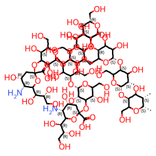 CC1C(O)[C@H](O[C@@H]2OC(CO)[C@H](O)C(O[C@]3(C(=O)O)C[C@@H](O)[C@@H](N)C([C@H](O)[C@H](O)CO)O3)[C@@H]2O)[C@H](CO)O[C@H]1O[C@@H]1C(O)[C@H](O)C(CO)O[C@@H]1OCC1O[C@@H](O[C@@H]2C(CO)O[C@@H](O[C@@H]3C(CO)O[C@@H](C)[C@@H](C)C3O)[C@@H](C)C2O)C(O)C(O[C@H]2O[C@H](CO)[C@@H](O)C(O)C2O[C@@H]2OC(CO)[C@@H](O[C@@H]3OC(CO)[C@H](O)C(O[C@]4(C(=O)O)C[C@@H](O)[C@@H](N)C([C@H](O)[C@H](O)CO)O4)[C@@H]3O)C(O)[C@@H]2C)[C@@H]1O